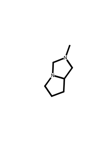 CN1CC2CCCN2C1